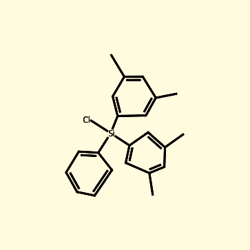 Cc1cc(C)cc([Si](Cl)(c2ccccc2)c2cc(C)cc(C)c2)c1